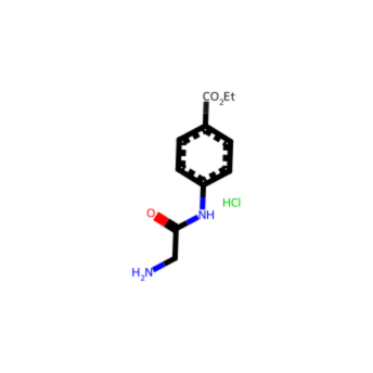 CCOC(=O)c1ccc(NC(=O)CN)cc1.Cl